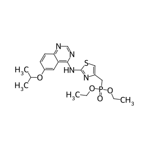 CCOP(=O)(Cc1csc(Nc2ncnc3ccc(OC(C)C)cc23)n1)OCC